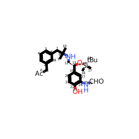 CC(=O)Cc1cccc(CC(C)(C)NC[C@H](O[Si](C)(C)C(C)(C)C)c2ccc(O)c(NC=O)c2)c1